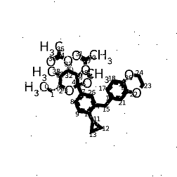 CC[C@H]1OC(OC)(c2ccc(C3CC3)c(Cc3ccc4c(c3)OCCO4)c2)[C@H](OC(C)=O)[C@@H](OC(C)=O)[C@@H]1C